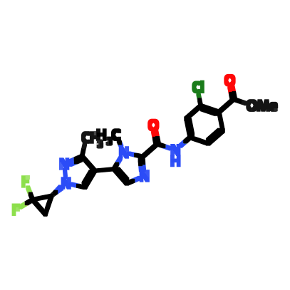 COC(=O)c1ccc(NC(=O)c2ncc(-c3cn([C@H]4CC4(F)F)nc3C(F)(F)F)n2C)cc1Cl